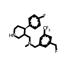 CN(Cc1cc(CF)cc(C(F)(F)F)c1)CC1CNCC[C@H]1c1ccc(F)cc1